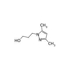 Cc1cc(C)n(CCCO)n1